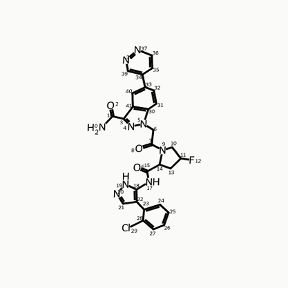 NC(=O)c1nn(CC(=O)N2CC(F)CC2C(=O)Nc2[nH]ncc2-c2ccccc2Cl)c2ccc(-c3ccnnc3)cc12